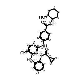 O=C(NC1CCCCC1O)c1ccc(Nc2ncc(Cl)c(Nc3ccccc3NC(=O)C3CC3)n2)cc1